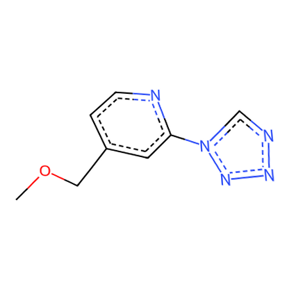 COCc1ccnc(-n2cnnn2)c1